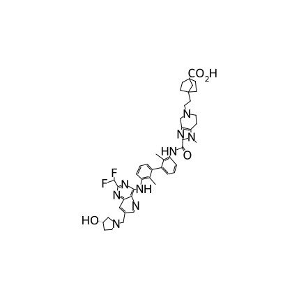 Cc1c(NC(=O)c2nc3c(n2C)CCN(CCC24CCC(C(=O)O)(CC2)C4)C3)cccc1-c1cccc(Nc2nc(C(F)F)nc3cc(CN4CC[C@H](O)C4)cnc23)c1C